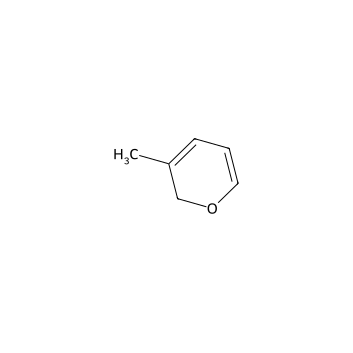 CC1=CC=COC1